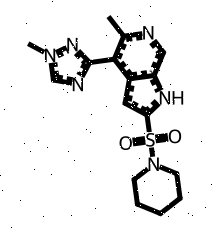 Cc1ncc2[nH]c(S(=O)(=O)N3CCCCC3)cc2c1-c1ncn(C)n1